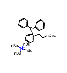 CCCCCCCCCCCCc1ccccc1B(c1ccccc1)c1ccccc1.CCCC[N+](CCCC)(CCCC)CCCC